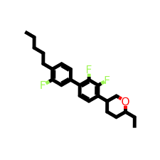 CCCCCc1ccc(-c2ccc(C3CCC(CC)OC3)c(F)c2F)cc1F